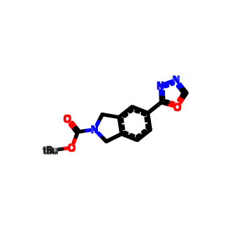 CC(C)(C)OC(=O)N1Cc2ccc(-c3nnco3)cc2C1